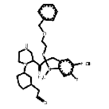 CN1c2cc(F)c(F)cc2CC1(OCCOCc1ccccc1)C(=O)C1CNCCN1C1CCCC(CC=O)C1.Cl